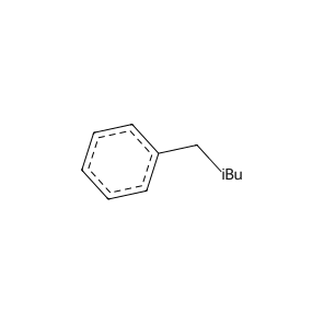 CCC(C)Cc1ccccc1